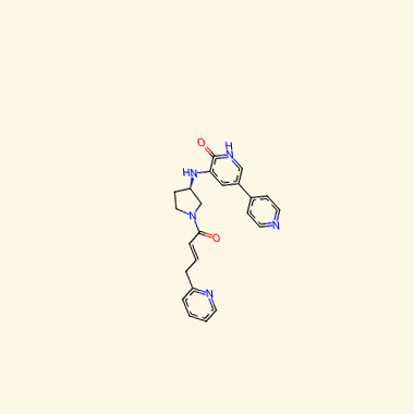 O=C(/C=C/Cc1ccccn1)N1CC[C@@H](Nc2cc(-c3ccncc3)c[nH]c2=O)C1